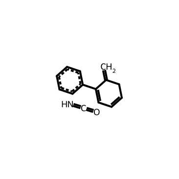 C=C1CC=CC=C1c1ccccc1.N=C=O